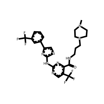 CN1CCN(CCCNC(=O)c2nc(Nc3nc(-c4cccc(C(F)(F)F)c4)cs3)ncc2C(F)(F)F)CC1